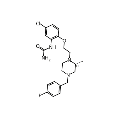 C[C@@H]1CN(Cc2ccc(F)cc2)CCN1CCOc1ccc(Cl)cc1NC(N)=O